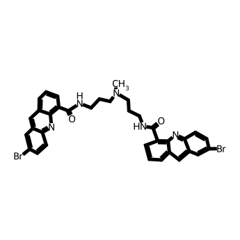 CN(CCCNC(=O)c1cccc2cc3cc(Br)ccc3nc12)CCCNC(=O)c1cccc2cc3cc(Br)ccc3nc12